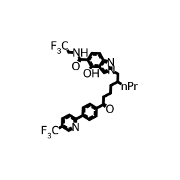 CCCC(CCCC(=O)c1ccc(-c2ccc(C(F)(F)F)cn2)cc1)Cn1cc2c(O)c(C(=O)NCC(F)(F)F)ccc2n1